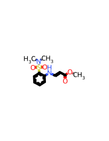 COC(=O)/C=C/Nc1ccccc1S(=O)(=O)N(C)C